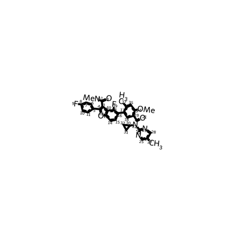 CNC(=O)c1c(-c2ccc(F)cc2)oc2ccc(-c3cc(C(=O)N(c4ncc(C)cn4)C4CC4)c(OC)cc3C)c(F)c12